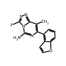 Cc1c(-c2cccc3occc23)nc(N)n2c(F)nnc12